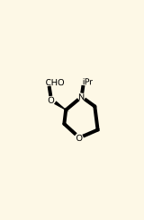 CC(C)N1CCOC[C@H]1OC=O